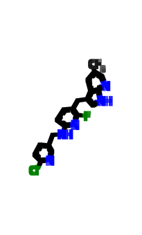 Fc1nc(NCc2ccc(Cl)nc2)ccc1Cc1c[nH]c2ncc(C(F)(F)F)cc12